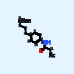 CCCCCCCCCCCCc1ccc(NC(=O)CC(C)=O)cc1